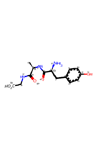 C[C@@H](NC(=O)[C@@H](N)Cc1ccc(O)cc1)C(=O)NCC(=O)O